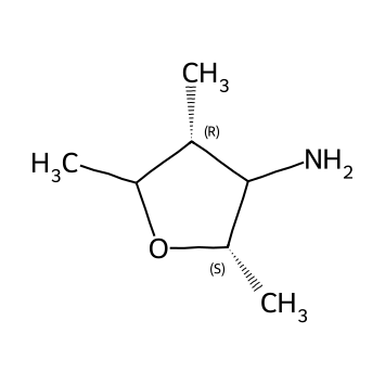 CC1O[C@@H](C)C(N)[C@H]1C